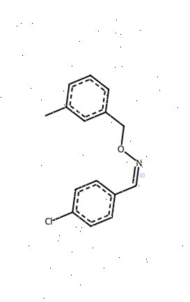 Cc1cccc(CO/N=[C]\c2ccc(Cl)cc2)c1